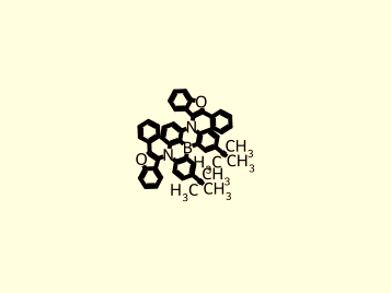 CC(C)(C)c1ccc2c(c1)B1c3cc(C(C)(C)C)ccc3N(c3c(-c4ccccc4)oc4ccccc34)c3cccc(c31)N2c1c(-c2ccccc2)oc2ccccc12